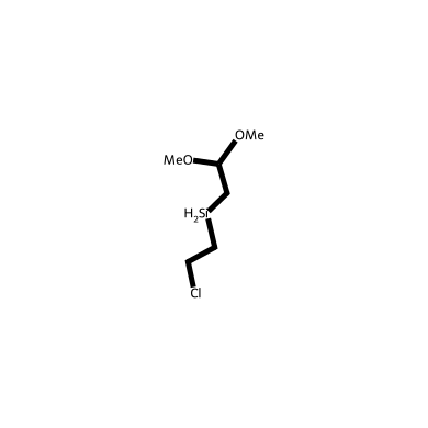 COC(C[SiH2]CCCl)OC